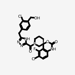 O=C1Nc2ccc(Cl)c(F)c2[C@@]2(CCCN(C(=O)c3nnc(Cc4ccc(CO)c(Cl)c4)[nH]3)C2)O1